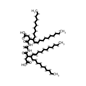 CCCCCCCCC/C=C\C(CCCCCCCCCC)C(CC(=O)O)C(=O)NC(=S)NC(=O)C(CC(=O)O)C(/C=C/CCCCCCCCC)CCCCCCCCCC